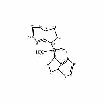 [CH3][Zr]([CH3])([CH]1CCC2CC=CC=C21)[CH]1CCC2CC=CC=C21